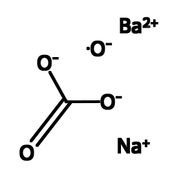 O=C([O-])[O-].[Ba+2].[Na+].[O-]